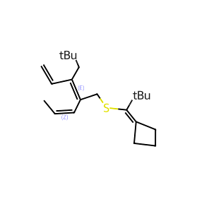 C=C/C(CC(C)(C)C)=C(\C=C/C)CSC(=C1CCC1)C(C)(C)C